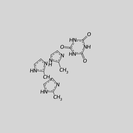 Cc1ncc[nH]1.Cc1ncc[nH]1.Cc1ncc[nH]1.O=c1[nH]c(=O)[nH]c(=O)[nH]1